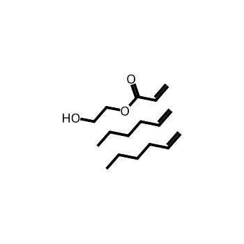 C=CC(=O)OCCO.C=CCCCC.C=CCCCC